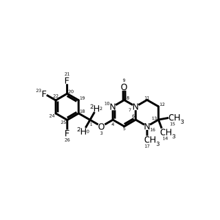 [2H]C([2H])(Oc1cc2n(c(=O)n1)CCC(C)(C)N2C)c1cc(F)c(F)cc1F